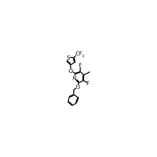 Cc1c(F)c(OCc2ccccc2)nc(Oc2csc(C(F)(F)F)c2)c1F